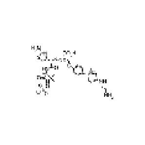 C[n+]1cc(NCCN)ccc1-c1ccc(OC[C@H](O/N=C(\C(=O)N[C@@H]2C(=O)N(OS(=O)(=O)[O-])C2(C)C)c2csc(N)n2)C(=O)O)cc1